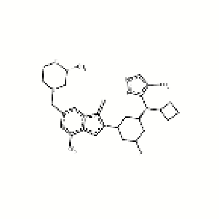 C[C@@H]1CN(Cc2cc(C(F)(F)F)c3cn(C4CC(F)CC([C@@H](c5nncn5C)C5CCC5)C4)c(=O)n3c2)CCO1